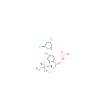 CC(C)(C)Nc1cc(Oc2ncc(Cl)cc2Cl)ccc1[N+](=O)[O-].O=[PH](O)O